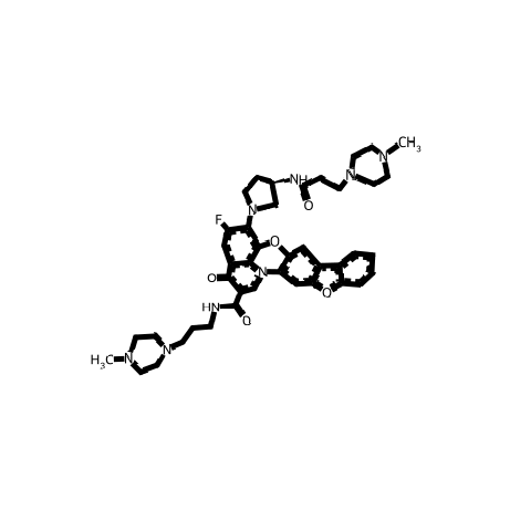 CN1CCN(CCCNC(=O)c2cn3c4c(c(N5CC[C@@H](NC(=O)CCN6CCN(C)CC6)C5)c(F)cc4c2=O)Oc2cc4c(cc2-3)oc2ccccc24)CC1